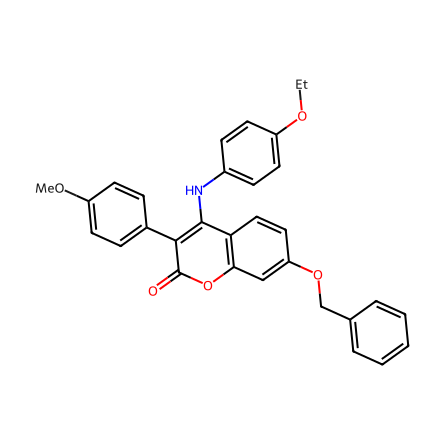 CCOc1ccc(Nc2c(-c3ccc(OC)cc3)c(=O)oc3cc(OCc4ccccc4)ccc23)cc1